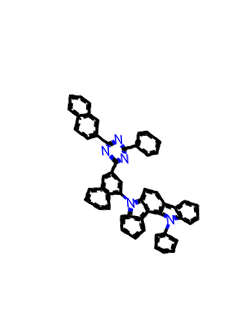 c1ccc(-c2nc(-c3ccc4ccccc4c3)nc(-c3cc(-n4c5ccccc5c5c4ccc4c6ccccc6n(-c6ccccc6)c45)c4ccccc4c3)n2)cc1